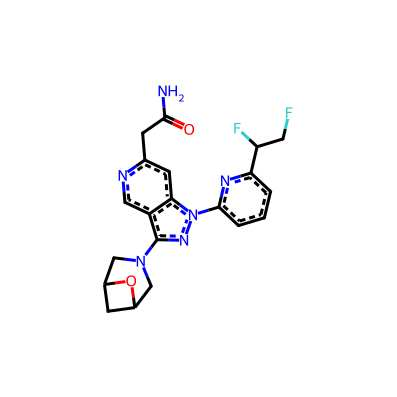 NC(=O)Cc1cc2c(cn1)c(N1CC3CC(C1)O3)nn2-c1cccc(C(F)CF)n1